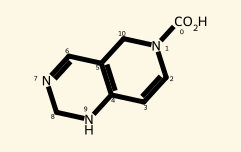 O=C(O)N1C=CC2=C(C=NCN2)C1